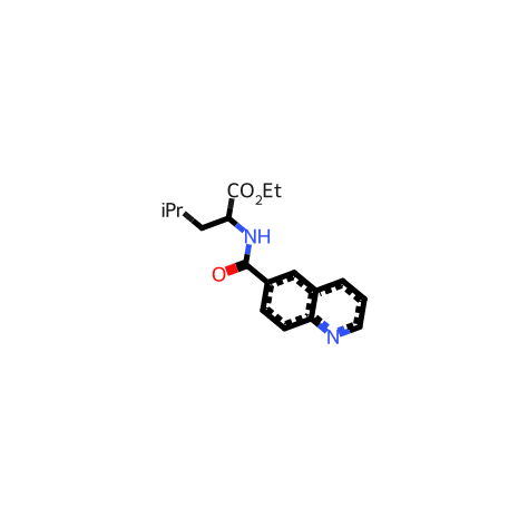 CCOC(=O)C(CC(C)C)NC(=O)c1ccc2ncccc2c1